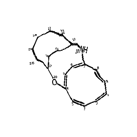 c1cccc2ccc(cc1)NC1CCCCCC(CC1)O2